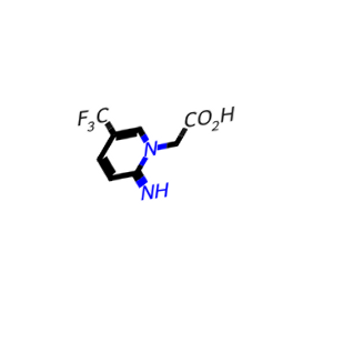 N=c1ccc(C(F)(F)F)cn1CC(=O)O